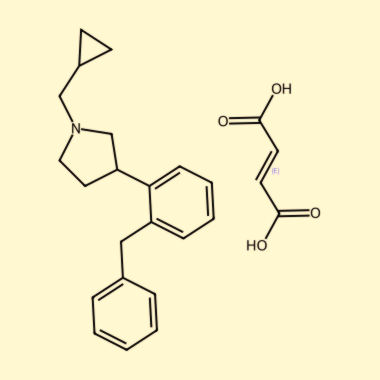 O=C(O)/C=C/C(=O)O.c1ccc(Cc2ccccc2C2CCN(CC3CC3)C2)cc1